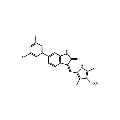 Cc1[nH]c(/C=C2\C(=O)Nc3cc(-c4cc(Cl)cc(Cl)c4)ccc32)c(C)c1C(=O)O